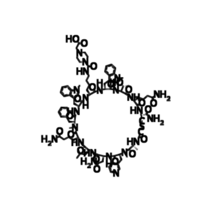 CC(C)C[C@@H]1NC(=O)[C@H](CC(N)=O)NC(=O)[C@H](Cc2cccnc2)N(C)C(=O)[C@@H](C)NC(=O)CSC[C@@H](C(N)=O)NC(=O)[C@H](CCCC(N)=O)NC(=O)[C@H]([C@@H](C)O)NC(=O)[C@H](Cc2cn(C)c3ccccc23)NC(=O)[C@H](CCCCNC(=O)N2CCN(CC(=O)O)CC2)NC(=O)[C@H](Cc2cn(C)c3ccccc23)NC(=O)[C@H](Cc2ccccc2)N(C)C(=O)[C@H](CCCC(N)=O)NC1=O